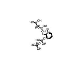 CC[n+]1ccccc1F.OB(O)O.OB(O)O.OB(O)O.OB(O)O